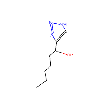 CCCCCC(O)c1c[nH]nn1